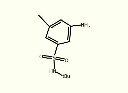 Cc1cc(N)cc(S(=O)(=O)NC(C)(C)C)c1